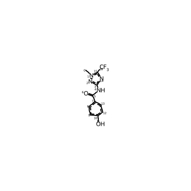 Cn1nc(NC(=O)c2ccc(O)cc2)nc1C(F)(F)F